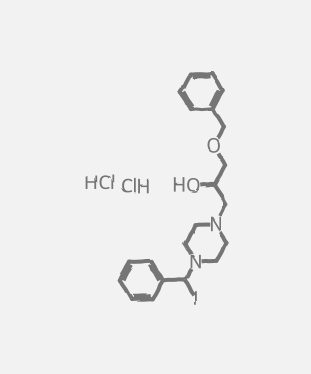 Cl.Cl.OC(COCc1ccccc1)CN1CCN(C(I)c2ccccc2)CC1